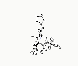 C/C(=N\OCC1CCCC1)c1cc(Cl)ccc1NS(=O)(=O)C(F)(F)F